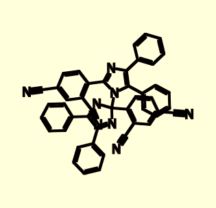 N#Cc1ccc(-c2nc(-c3ccccc3)c(-c3ccccc3)n2C2(c3ccc(C#N)cc3C#N)N=C(c3ccccc3)C(c3ccccc3)=N2)c(C#N)c1